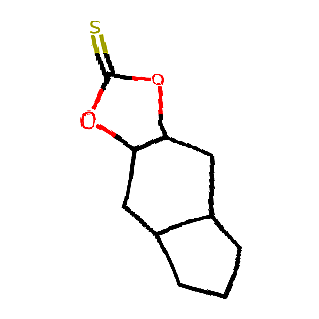 S=C1OC2CC3CCCC3CC2O1